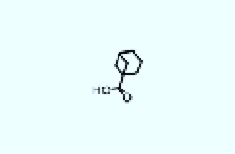 O=C(O)C12CCCC(C1)C2